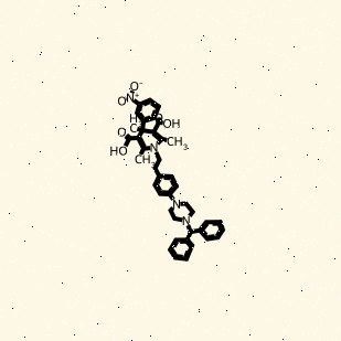 CC1=C(C(=O)O)C(C)(c2cccc([N+](=O)[O-])c2)C(C(=O)O)=C(C)N1CCc1ccc(N2CCN(C(c3ccccc3)c3ccccc3)CC2)cc1